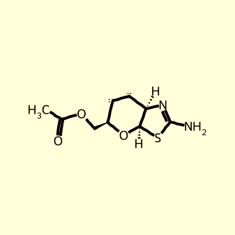 CC(=O)OC[C@H]1[C][C][C@H]2N=C(N)S[C@H]2O1